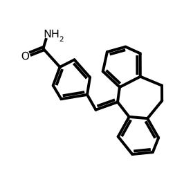 NC(=O)c1ccc(C=C2c3ccccc3CCc3ccccc32)cc1